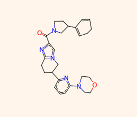 O=C(c1cn2c(n1)CCC(c1cccc(N3CCOCC3)n1)C2)N1CCC(C2=CCCC=C2)C1